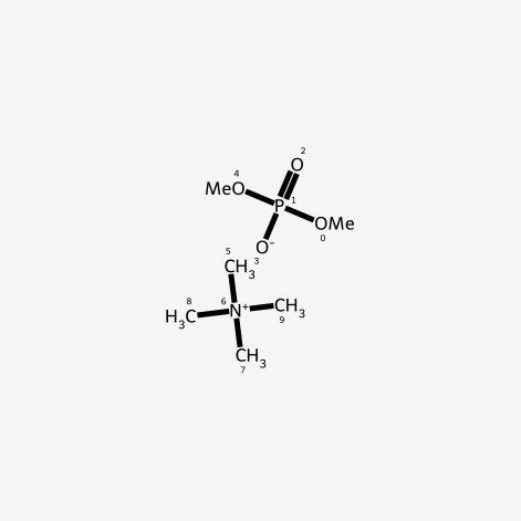 COP(=O)([O-])OC.C[N+](C)(C)C